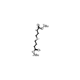 CCCCOC(=O)CCCSCCCC(=O)OCCCC